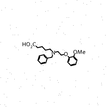 COc1ccccc1OCCN(CCCCC(=O)O)Cc1ccccc1